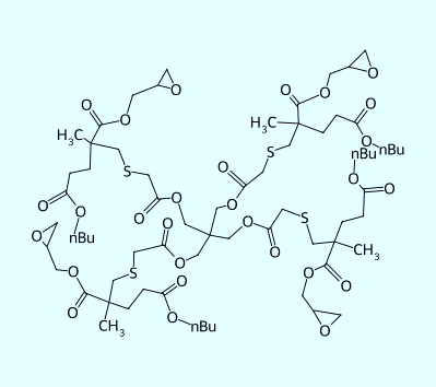 CCCCOC(=O)CCC(C)(CSCC(=O)OCC(COC(=O)CSCC(C)(CCC(=O)OCCCC)C(=O)OCC1CO1)(COC(=O)CSCC(C)(CCC(=O)OCCCC)C(=O)OCC1CO1)COC(=O)CSCC(C)(CCC(=O)OCCCC)C(=O)OCC1CO1)C(=O)OCC1CO1